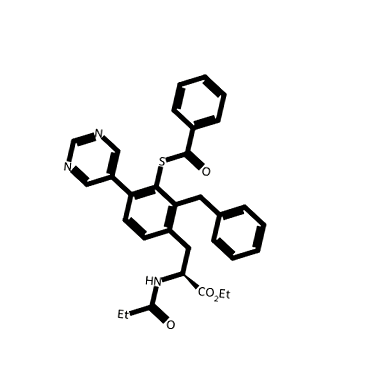 CCOC(=O)[C@H](Cc1ccc(-c2cncnc2)c(SC(=O)c2ccccc2)c1Cc1ccccc1)NC(=O)CC